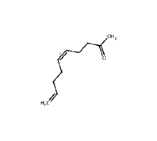 C=CCC/C=C\CCC(C)=O